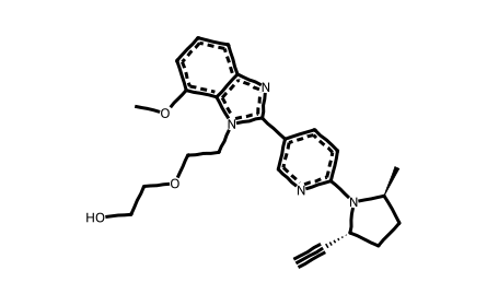 C#C[C@H]1CC[C@H](C)N1c1ccc(-c2nc3cccc(OC)c3n2CCOCCO)cn1